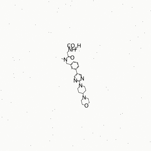 CN(Cc1cccc(-c2cnc(N3CCC(N4CCOCC4)CC3)nc2)c1)C(=O)CNC(=O)O